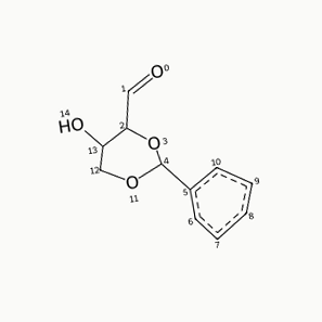 O=CC1OC(c2ccccc2)OCC1O